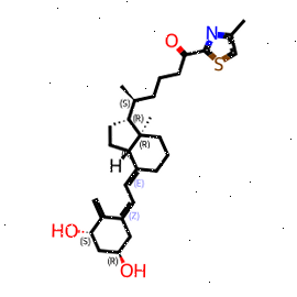 C=C1/C(=C\C=C2/CCC[C@]3(C)[C@@H]([C@@H](C)CCCC(=O)c4nc(C)cs4)CC[C@@H]23)C[C@@H](O)C[C@@H]1O